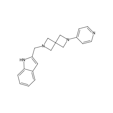 c1ccc2[nH]c(CN3CC4(C3)CN(c3ccncc3)C4)cc2c1